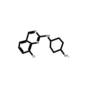 CCc1cccc2cnc(NC3CCC(N)CC3)nc12